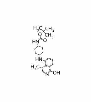 Cc1cnc(O)c2cccc(N[C@H]3CC[C@H](NC(=O)OC(C)(C)C)CC3)c12